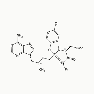 COC[C@H](NP(=O)(CO[C@H](C)Cn1cnc2c(N)ncnc21)Oc1ccc(Cl)cc1)C(=O)NC(C)C